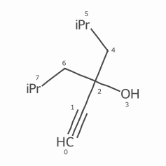 C#CC(O)(CC(C)C)CC(C)C